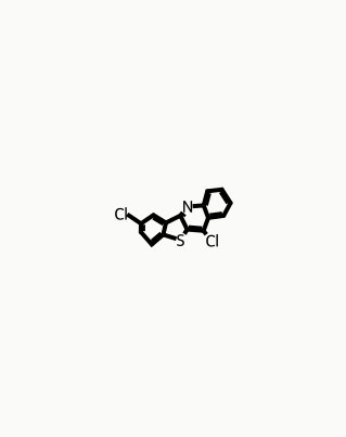 Clc1ccc2sc3c(Cl)c4ccccc4nc3c2c1